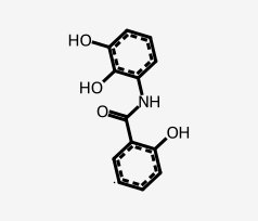 O=C(Nc1cccc(O)c1O)c1c[c]ccc1O